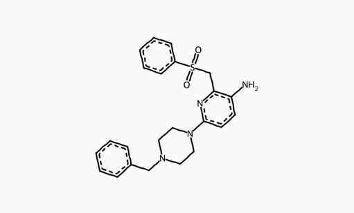 Nc1ccc(N2CCN(Cc3ccccc3)CC2)nc1CS(=O)(=O)c1ccccc1